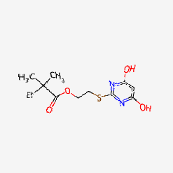 CCC(C)(C)C(=O)OCCSc1nc(O)cc(O)n1